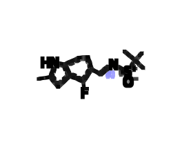 Cc1cc2c(F)c(/C=N/[S@@+]([O-])C(C)(C)C)ccc2[nH]1